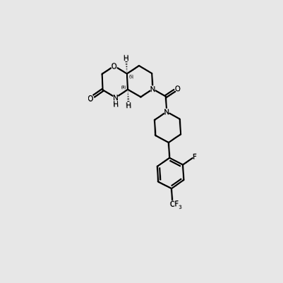 O=C1CO[C@H]2CCN(C(=O)N3CCC(c4ccc(C(F)(F)F)cc4F)CC3)C[C@H]2N1